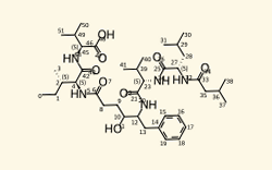 CC[C@H](C)[C@H](NC(=O)CCC(O)C(Cc1ccccc1)NC(=O)[C@@H](NC(=O)[C@H](CC(C)C)NC(=O)CC(C)C)C(C)C)C(=O)N[C@H](C(=O)O)C(C)C